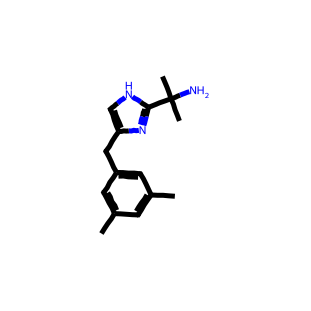 Cc1cc(C)cc(Cc2c[nH]c(C(C)(C)N)n2)c1